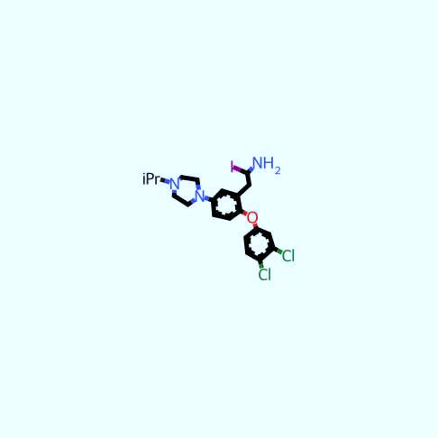 CC(C)N1CCN(c2ccc(Oc3ccc(Cl)c(Cl)c3)c(CC(N)I)c2)CC1